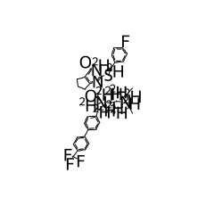 [2H]C([2H])(Sc1nc(=O)c2c(n1CC(=O)N(C([2H])([2H])c1ccc(-c3ccc(C(F)(F)F)cc3)cc1)C([2H])([2H])C([2H])([2H])N(C([2H])([2H])C)C([2H])([2H])C)CCC2)c1ccc(F)cc1